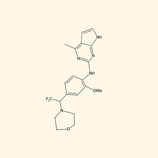 COc1cc(C(N2CCOCC2)C(F)(F)F)ccc1Nc1nc(C)c2cc[nH]c2n1